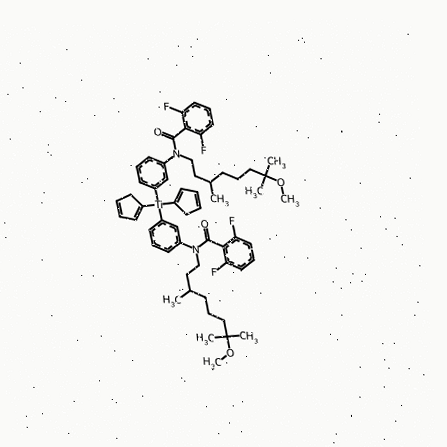 COC(C)(C)CCCC(C)CCN(C(=O)c1c(F)cccc1F)c1ccc[c]([Ti]([C]2=CC=CC2)([C]2=CC=CC2)[c]2cccc(N(CCC(C)CCCC(C)(C)OC)C(=O)c3c(F)cccc3F)c2)c1